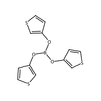 c1cc(OB(Oc2ccsc2)Oc2ccsc2)cs1